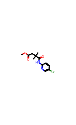 COC(=O)CC(C)(C)C(=O)Nc1ccc(Br)cn1